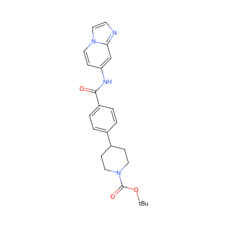 CC(C)(C)OC(=O)N1CCC(c2ccc(C(=O)Nc3ccn4ccnc4c3)cc2)CC1